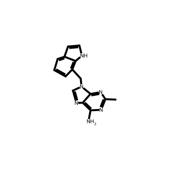 Cc1nc(N)c2ncn(Cc3cccc4cc[nH]c34)c2n1